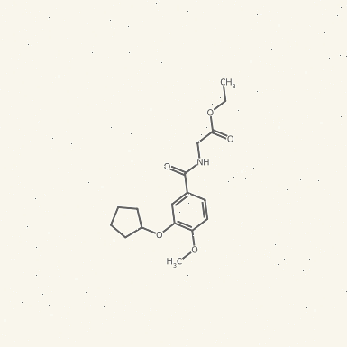 CCOC(=O)CNC(=O)c1ccc(OC)c(OC2CCCC2)c1